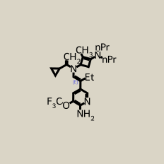 C=C(C1CC1)N(/C=C(\CC)c1cnc(N)c(OC(F)(F)F)c1)C1CC(N(CCC)CCC)=C1C